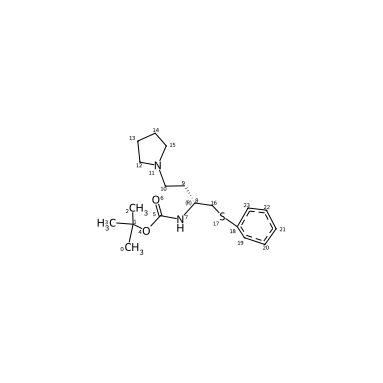 CC(C)(C)OC(=O)N[C@H](CCN1CCCC1)CSc1ccccc1